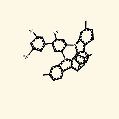 Cc1ccc2c3ccc(C)cc3n(-c3cc(C#N)c(-c4cc(C#N)cc(C(F)(F)F)c4)cc3-n3c4cc(C)ccc4c4ccc(C)cc43)c2c1